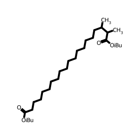 CC(C)COC(=O)CCCCCCCCCCCCCCCCC(C)C(C)C(=O)OCC(C)C